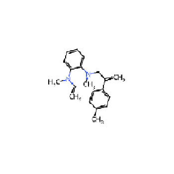 C=CN(C)c1ccccc1N(C)CC(=C)c1ccc(C)cc1